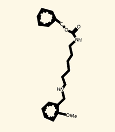 COc1ccccc1CNCCCCCCNC(=O)OCc1ccccc1